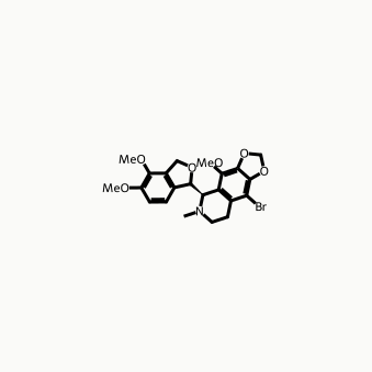 COc1ccc2c(c1OC)COC2[C@H]1c2c(c(Br)c3c(c2OC)OCO3)CCN1C